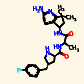 CC(NC(=O)[C@H]1C[C@H](Cc2ccc(F)cc2)CN1)C(=O)NC1CC(C)(C)c2nc(N)ccc21